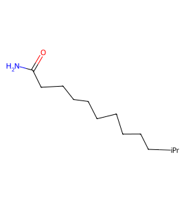 CC(C)CCCCCCCCCC(N)=O